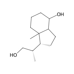 C[C@H](CO)[C@H]1CCC2C(O)CCCC21C